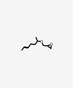 [CH2]C=CCCC(C)OCC1CO1